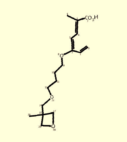 C=C/C(=C\C=C(/C)C(=O)O)OCCCCOCC1(C)COC1